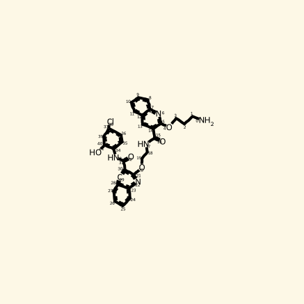 NCCCOc1nc2ccccc2cc1C(=O)NCCOc1nc2ccccc2cc1C(=O)Nc1ccc(Cl)cc1O